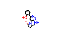 O=C1CCC2CNc3nnc(-c4ccccc4O)cc3N12